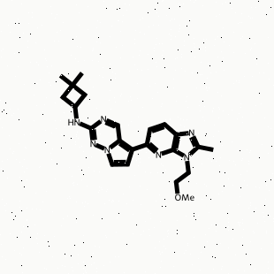 COCCn1c(C)nc2ccc(-c3ccn4nc(NC5CC(C)(C)C5)ncc34)nc21